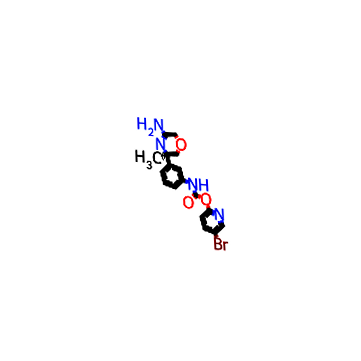 C[C@@]1(c2cccc(NC(=O)Oc3ccc(Br)cn3)c2)COCC(N)=N1